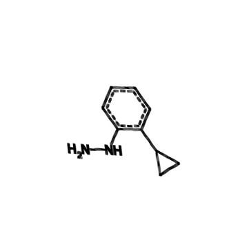 NNc1ccccc1C1CC1